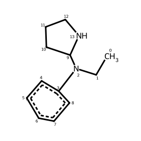 CCN(c1c[c]ccc1)C1CCCN1